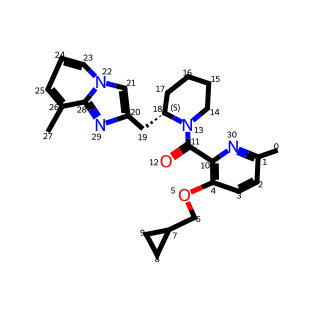 Cc1ccc(OCC2CC2)c(C(=O)N2CCCC[C@H]2Cc2cn3cccc(C)c3n2)n1